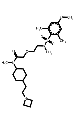 COc1cc(C)c(S(=O)(=O)N(C)CCOCC(=O)N(C)C2CCC(CCN3CCC3)CC2)c(C)c1